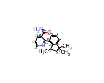 C[C@@H]1CC(C)(C)c2cccc(-c3ncccc3C(N)=O)c21